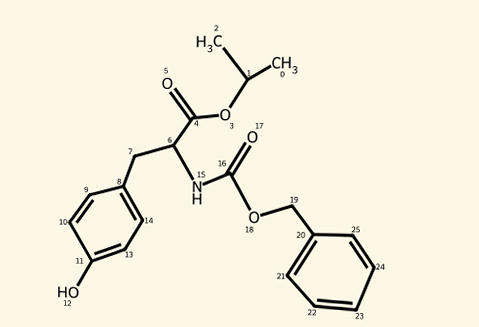 CC(C)OC(=O)C(Cc1ccc(O)cc1)NC(=O)OCc1ccccc1